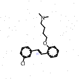 CN(C)CCCCOc1ccccc1/C=C/c1cccc(Cl)c1